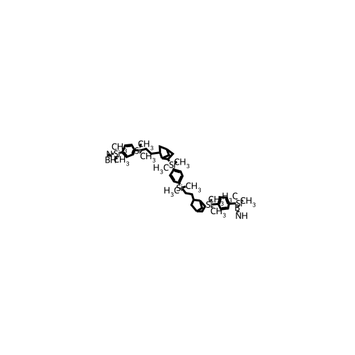 B=N[Si](C)(C)c1ccc([Si](C)(C)CCC2CC3CC2C([Si](C)(C)c2ccc([Si](C)(C)CCC4CC5CC4C([Si](C)(C)c4ccc([Si](C)(C)B=N)cc4)C5)cc2)C3)cc1